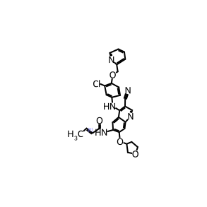 C/C=C/C(=O)Nc1cc2c(Nc3ccc(OCc4ccccn4)c(Cl)c3)c(C#N)cnc2cc1OC1CCOC1